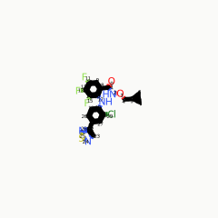 O=C(NOCC1CC1)c1cc(F)c(F)c(F)c1Nc1ccc(-c2cnsn2)cc1Cl